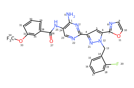 Nc1nc(-c2cc(-c3ncco3)n(Cc3ccccc3F)n2)ncc1NC(=O)c1cccc(OC(F)(F)F)c1